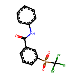 O=C(Nc1ccccc1)c1cccc(S(=O)(=O)C(Br)(Br)Br)c1